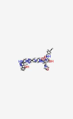 C#Cc1ccc(CNC(=O)[C@@H]2C[C@@H](O)CN2C(=O)[C@@H](NC(=O)N2CCC(N3CCC(c4cnc(N5CCc6[nH]c7nnc(-c8ccccc8O)cc7c6[C@H]5C)nc4)CC3)CC2)C(C)(C)CCN2CCOCC2)cc1